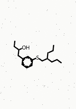 CCCC(CCC)CSc1cccc(CC(O)CC)c1